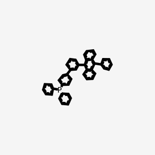 c1ccc(-c2c3ccccc3c(-c3cccc(-c4ccc(P(c5ccccc5)c5ccccc5)cc4)c3)c3ccccc23)cc1